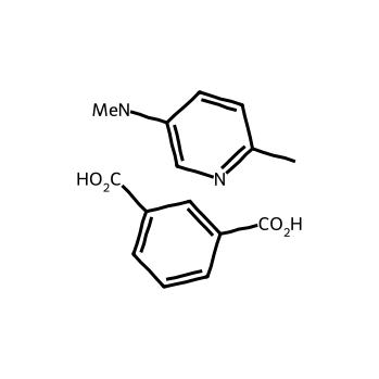 CNc1ccc(C)nc1.O=C(O)c1cccc(C(=O)O)c1